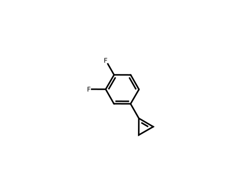 Fc1ccc(C2=CC2)cc1F